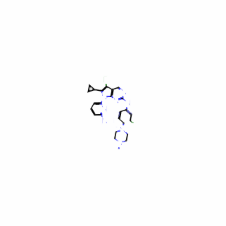 CN1CCN(C/C=C\C(=C/CF)Nc2ncc3c(F)c(C4CC4)n(-c4cccc(N)n4)c3n2)CC1